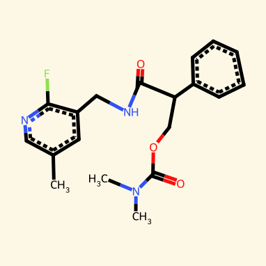 Cc1cnc(F)c(CNC(=O)C(COC(=O)N(C)C)c2ccccc2)c1